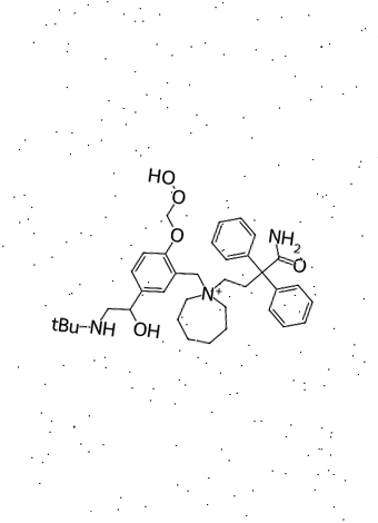 CC(C)(C)NCC(O)c1ccc(OCOO)c(C[N+]2(CCC(C(N)=O)(c3ccccc3)c3ccccc3)CCCCCC2)c1